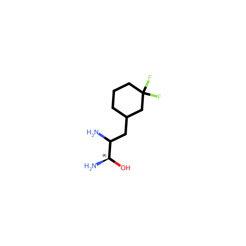 NC(CC1CCCC(F)(F)C1)[C@H](N)O